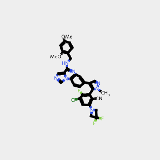 COc1ccc(CNc2nc3cc(-c4cnn(C)c4-c4c(F)c(Cl)cc(N5CC(F)(F)C5)c4C#N)ccc3n3cncc23)c(OC)c1